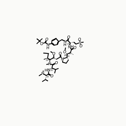 CC[C@H](C)[C@@H]([C@@H](CC(=O)N1CCC[C@H]1[C@H](OC)[C@@H](C)C(=O)N[C@@H](CCS(C)(=O)=O)C(=O)NCc1ccc(NC(=O)OC(C)(C)C)cc1)OC)N(C)C(=O)[C@@H](NC(=O)[C@H](C(C)C)N(C)C)C(C)C